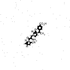 CC(c1ccc(C(=O)O)cc1)N1C(=O)[C@@H]2CC1CN2CC(N)C(=O)N1C(C#N)C[C@@H]2C[C@@H]21